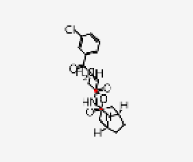 C=CCOC(=O)N1[C@@H]2CC[C@H]1C[C@H](NC(=O)CNC(=O)c1cccc(Cl)c1)C2